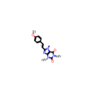 CCCn1c(=O)c2c(nc(/C=C/c3ccc(OCC)cc3)n2C)n(CCC)c1=O